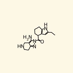 CCc1cc2c([nH]1)CCCC2C(=O)n1nc2c(c1N)CNCC2